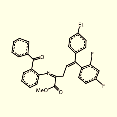 CCc1ccc(C(=CCC(=Nc2ccccc2C(=O)c2ccccc2)C(=O)OC)c2ccc(F)cc2F)cc1